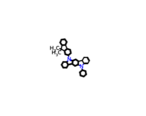 CC1(C)c2ccccc2-c2ccc(-n3c4ccccc4c4cc5c(cc43)C3CC=CC=C3N5c3ccccc3)cc21